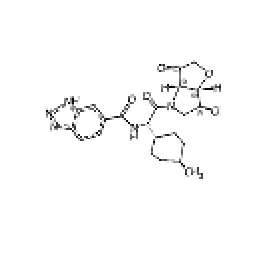 C[C@H]1CC[C@H](C(NC(=O)c2ccc3nn[nH]c3c2)C(=O)N2C[C@H](Cl)[C@H]3OCC(=O)[C@H]32)CC1